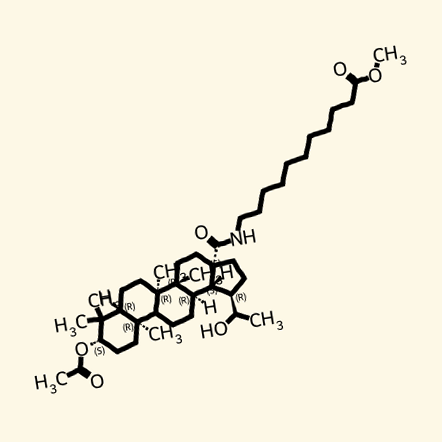 COC(=O)CCCCCCCCCCNC(=O)[C@]12CC[C@@H](C(C)O)[C@@H]1[C@H]1CCC3[C@@]4(C)CC[C@H](OC(C)=O)C(C)(C)[C@@H]4CC[C@@]3(C)[C@]1(C)CC2